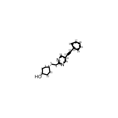 O[C@H]1CC[C@H](CCc2ncc(C#Cc3ccccc3)cn2)CC1